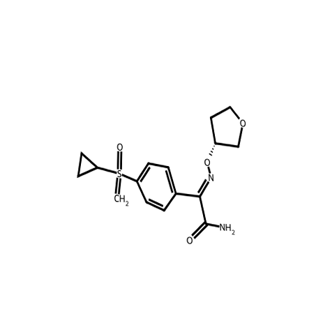 C=S(=O)(c1ccc(/C(=N\O[C@@H]2CCOC2)C(N)=O)cc1)C1CC1